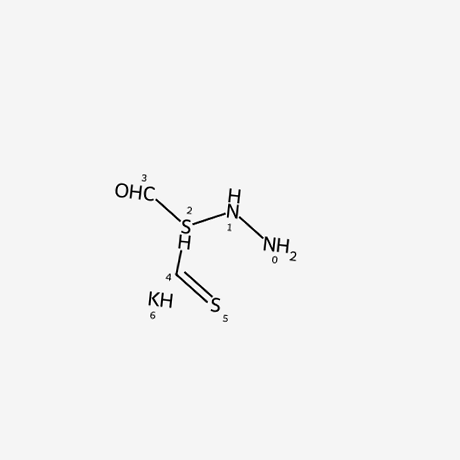 NN[SH](C=O)C=S.[KH]